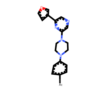 CC(=O)c1ccc(N2CCN(c3cncc(-c4ccoc4)n3)CC2)cc1